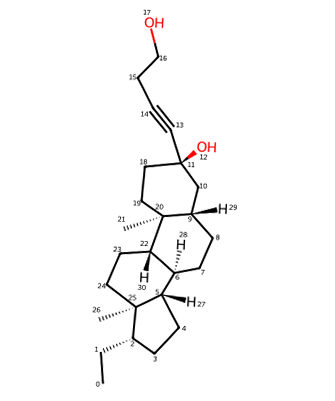 CC[C@H]1CC[C@H]2[C@@H]3CC[C@H]4C[C@@](O)(C#CCCO)CC[C@]4(C)[C@H]3CC[C@]12C